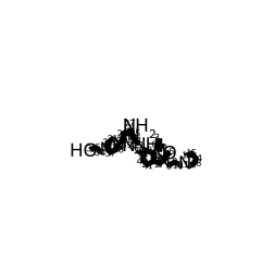 CC(C)(C)OC(=O)N(CCCN1CCCCC1)CC1CCC(CNc2nc(N)cc(N3CCN(CCO)CC3)n2)CC1